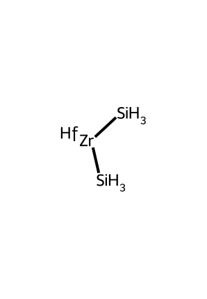 [Hf].[SiH3][Zr][SiH3]